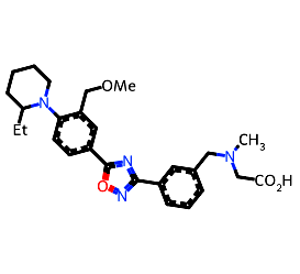 CCC1CCCCN1c1ccc(-c2nc(-c3cccc(CN(C)CC(=O)O)c3)no2)cc1COC